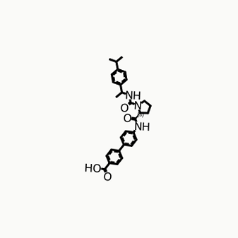 CC(C)c1ccc(C(C)NC(=O)N2CCC[C@H]2C(=O)Nc2ccc(-c3ccc(C(=O)O)cc3)cc2)cc1